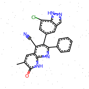 Cc1cc2c(C#N)c(-c3cc(Cl)c4[nH]ncc4c3)c(-c3ccccc3)nc2[nH]c1=O